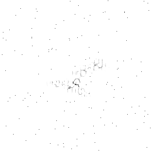 CC(C)(C)OC(=O)N[C@H]1CCC(c2ccc(CC(C)(C)OC(=O)N3CCNCC3)c(N3CCNCC3)c2)NC1